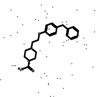 NC(=O)C1CCN(CCOc2ccc(Cc3ccccc3)cc2)CC1